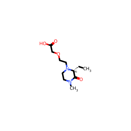 CC[C@@H]1C(=O)N(C)CCN1CCOCC(=O)O